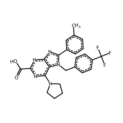 Cc1cccc(-c2nc3nc(C(=O)O)nc(N4CCCC4)c3n2Cc2ccc(C(F)(F)F)cc2)c1